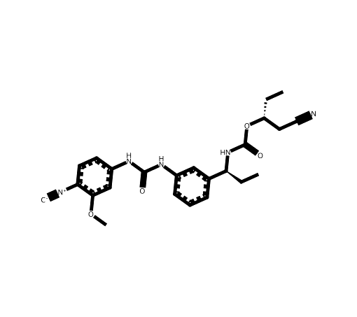 [C-]#[N+]c1ccc(NC(=O)Nc2cccc([C@H](CC)NC(=O)O[C@H](CC)CC#N)c2)cc1OC